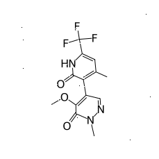 COc1c(-c2c(C)cc(C(F)(F)F)[nH]c2=O)cnn(C)c1=O